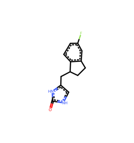 O=c1[nH]cc(CC2CCc3cc(F)ccc32)[nH]1